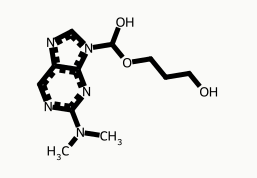 CN(C)c1ncc2ncn(C(O)OCCCO)c2n1